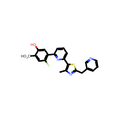 Cc1nc(Cc2cccnc2)sc1-c1cccc(-c2cc(O)c(C(=O)O)cc2F)n1